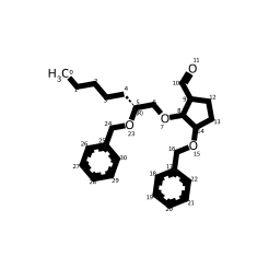 CCCCC[C@H](COC1C(C=O)CCC1OCc1ccccc1)OCc1ccccc1